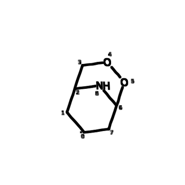 [CH]1CC2COOC(C1)N2